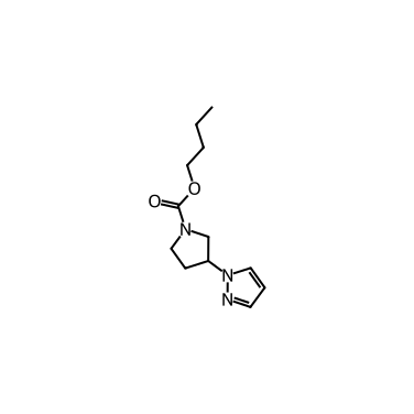 CCCCOC(=O)N1CCC(n2cccn2)C1